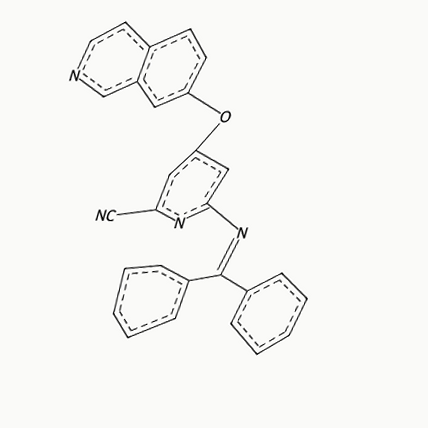 N#Cc1cc(Oc2ccc3ccncc3c2)cc(N=C(c2ccccc2)c2ccccc2)n1